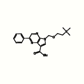 CC(C)(C)C(=O)c1cn(COCC[Si](C)(C)C)c2ncc(-c3ccccc3)nc12